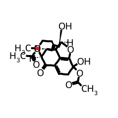 CC(=O)OC1(O)CC=C2C(=O)[C@H]3N(C)CC[C@]45C2=C1O[C@H]4[C@@H](O)C=C[C@@]35OC(C)=O